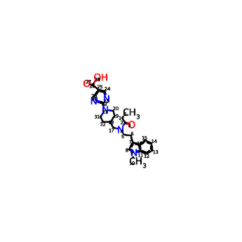 CCC(=O)N(CCc1cn(C)c2ccccc12)CC1CCN(c2ncc(C(=O)O)cn2)CC1